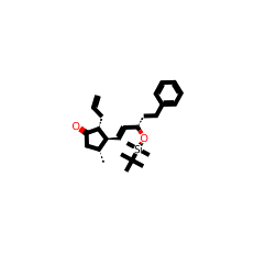 C=CC[C@H]1C(=O)C[C@@H](C)[C@@H]1/C=C/[C@H](CCc1ccccc1)O[Si](C)(C)C(C)(C)C